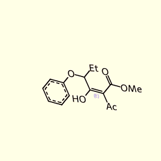 CCC(Oc1ccccc1)/C(O)=C(/C(C)=O)C(=O)OC